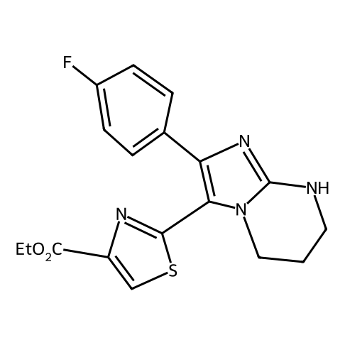 CCOC(=O)c1csc(-c2c(-c3ccc(F)cc3)nc3n2CCCN3)n1